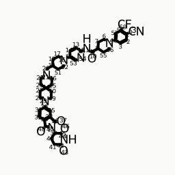 N#Cc1ccc(N2CCC(C(=O)Nc3ccc(N4CCC(CN5CCC6(CC5)CCN(c5ccc7c(c5)C(=O)N(C5CCC(=O)NC5=O)C7=O)CC6)CC4)cn3)CC2)cc1C(F)(F)F